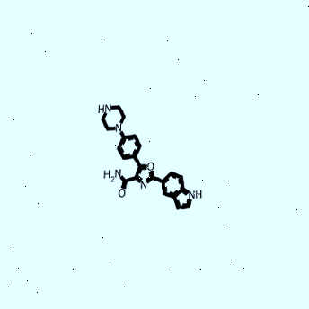 NC(=O)c1nc(-c2ccc3[nH]ccc3c2)oc1-c1ccc(N2CCNCC2)cc1